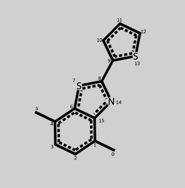 Cc1ccc(C)c2sc(-c3cccs3)nc12